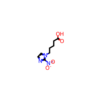 O=C(O)CCCCn1ccnc1[N+](=O)[O-]